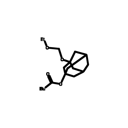 CCOCOC12CC3CC(C1)CC(OC(=O)C(C)CC)(C3)C2